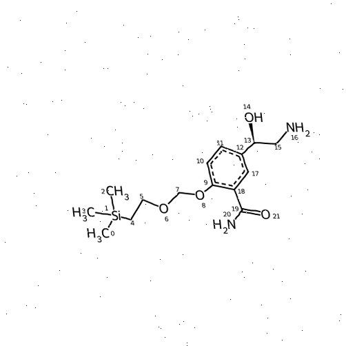 C[Si](C)(C)CCOCOc1ccc([C@@H](O)CN)cc1C(N)=O